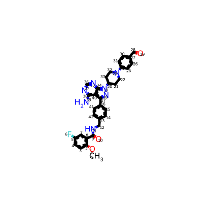 COc1ccc(F)cc1C(=O)NCc1ccc(-c2nn(C3CCN(c4ccc(C=O)cc4)CC3)c3ncnc(N)c23)cc1